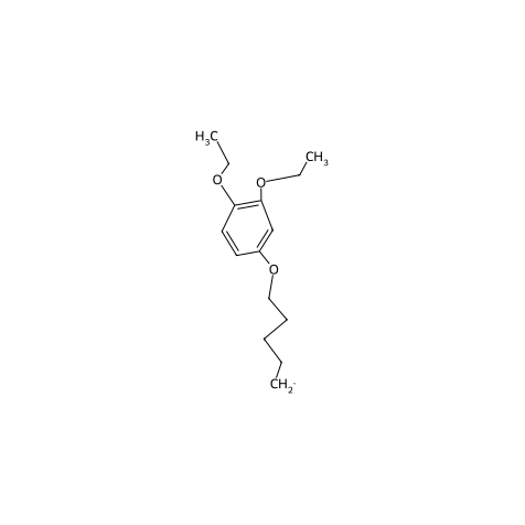 [CH2]CCCCOc1ccc(OCC)c(OCC)c1